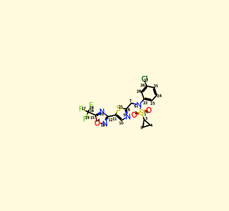 O=S(=O)(C1CC1)N(Cc1ncc(-c2noc(C(F)(F)F)n2)s1)c1cccc(Cl)c1